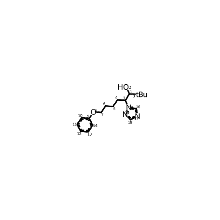 CC(C)(C)C(O)C(CCCCOc1ccccc1)n1cncn1